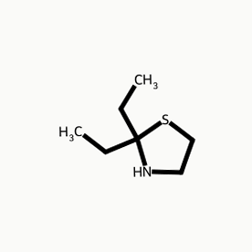 CCC1(CC)NCCS1